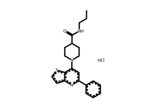 CCCNC(=O)C1CCN(c2cc(-c3ccccc3)nc3ccsc23)CC1.Cl